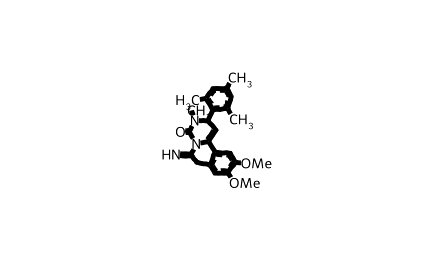 COc1cc2c(cc1OC)C1=CC(c3c(C)cc(C)cc3C)N(C)C(=O)N1C(=N)C2